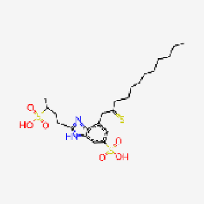 CCCCCCCCCCC(=S)Cc1cc(S(=O)(=O)O)cc2[nH]c(CCC(C)S(=O)(=O)O)nc12